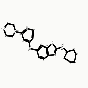 c1cc(Oc2ccc3nc(NC4CCCCC4)sc3c2)cc(N2CCOCC2)n1